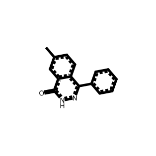 Cc1ccc2c(-c3ccccc3)n[nH]c(=O)c2c1